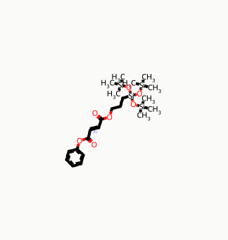 C[Si](C)(C)O[Si](CCCOC(=O)/C=C/C(=O)Oc1ccccc1)(O[Si](C)(C)C)O[Si](C)(C)C